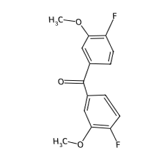 COc1cc(C(=O)c2ccc(F)c(OC)c2)ccc1F